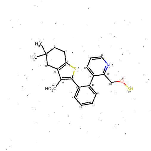 CC1(C)CCc2sc(-c3ccccc3-c3cccnc3COS)c(C(=O)O)c2C1